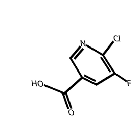 O=C(O)c1cnc(Cl)c(F)c1